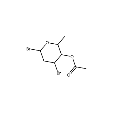 CC(=O)OC1C(Br)CC(Br)OC1C